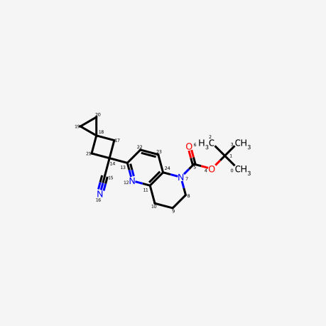 CC(C)(C)OC(=O)N1CCCc2nc(C3(C#N)CC4(CC4)C3)ccc21